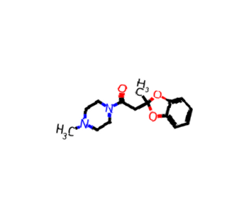 CN1CCN(C(=O)CC2(C)Oc3ccccc3O2)CC1